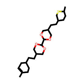 CC1=CCC(CCC2COC(C3OCC(CCC4CCC(C)SC4)CO3)OC2)CC1